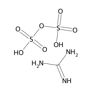 N=C(N)N.O=S(=O)(O)OS(=O)(=O)O